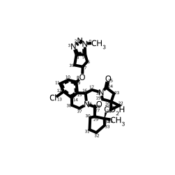 Cn1nnc2c1CC(Oc1ccc(Cl)c3c1C(CN1CC4(CC4)CC1=O)N(C(=O)C1CCCC[C@]1(C)C(=O)O)CC3)C2